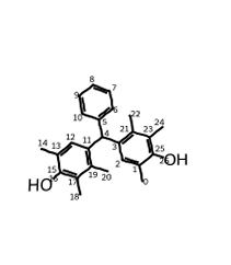 Cc1cc(C(c2ccccc2)c2cc(C)c(O)c(C)c2C)c(C)c(C)c1O